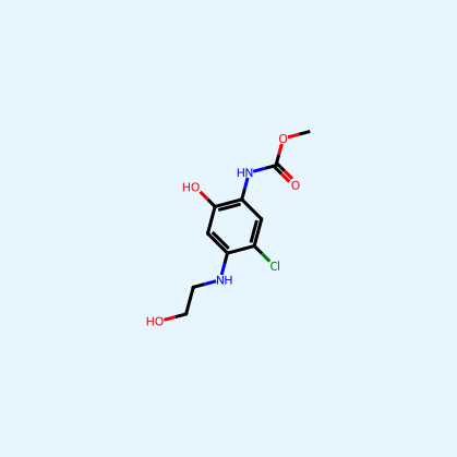 COC(=O)Nc1cc(Cl)c(NCCO)cc1O